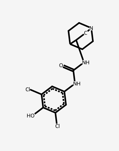 O=C(Nc1cc(Cl)c(O)c(Cl)c1)NC1CN2CCC1CC2